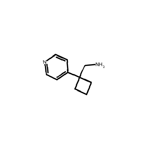 NCC1(c2ccncc2)CCC1